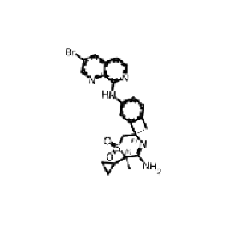 C[C@]1(C2CC2)C(N)=N[C@@]2(Cc3ccc(Nc4nccc5cc(Br)cnc45)cc32)CS1(=O)=O